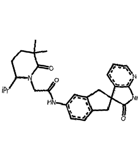 CC(C)C1CCC(C)(C)C(=O)N1CC(=O)Nc1ccc2c(c1)CC1(C2)C(=O)Nc2ncccc21